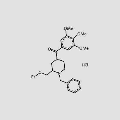 CCOCC1CN(C(=O)c2cc(OC)c(OC)c(OC)c2)CCN1Cc1ccccc1.Cl